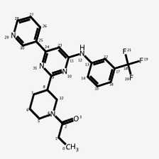 CCC(=O)N1CCCC(c2nc(Nc3cccc(C(F)(F)F)c3)cc(-c3cccnc3)n2)C1